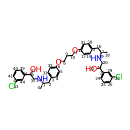 C[C@H](Cc1ccc(OCCCOc2ccc(C[C@@H](C)NC[C@H](O)c3cccc(Cl)c3)cc2)cc1)NC[C@H](O)c1cccc(Cl)c1